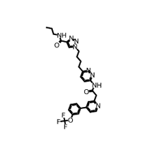 CCCNC(=O)c1cn(CCCCc2ccc(NC(=O)Cc3cc(-c4cccc(OC(F)(F)F)c4)ccn3)nn2)nn1